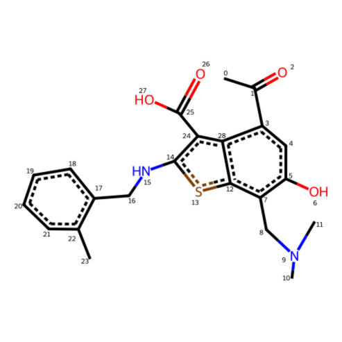 CC(=O)c1cc(O)c(CN(C)C)c2sc(NCc3ccccc3C)c(C(=O)O)c12